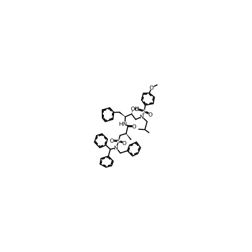 COc1ccc(S(=O)(=O)N(CC(C)C)C[C@@H](O)[C@H](Cc2ccccc2)NC(=O)[C@@H](C)CS(=O)(=O)N(Cc2ccccc2)C(c2ccccc2)c2ccccc2)cc1